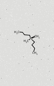 C=P(C)(CCCC)CCCC